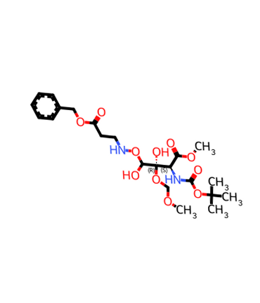 COCO[C@@](O)(C(O)ONCCC(=O)OCc1ccccc1)[C@H](NC(=O)OC(C)(C)C)C(=O)OC